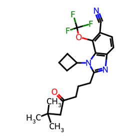 CC(C)(C)CC(=O)CCCc1nc2ccc(C#N)c(OC(F)(F)F)c2n1C1CCC1